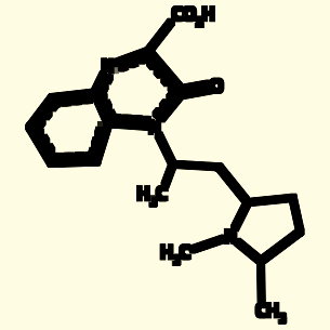 CC1CCC(CC(C)n2c(=O)c(C(=O)O)nc3ccccc32)N1C